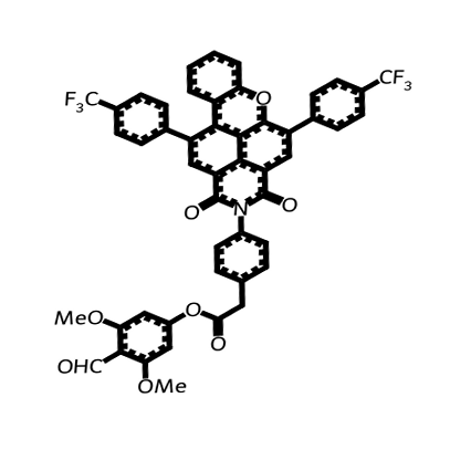 COc1cc(OC(=O)Cc2ccc(-n3c(=O)c4cc(-c5ccc(C(F)(F)F)cc5)c5oc6ccccc6c6c(-c7ccc(C(F)(F)F)cc7)cc(c3=O)c4c56)cc2)cc(OC)c1C=O